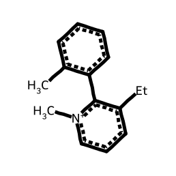 CCc1ccc[n+](C)c1-c1ccccc1C